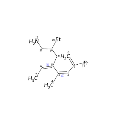 C=C(/C=C(C)\C(=C/C)CC(CC)CN)C(C)C